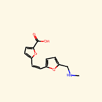 CNCc1ccc(/C=C\c2ccc(C(=O)O)o2)o1